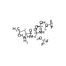 CC(C)C[C@H](N)C(=O)N[C@@H](COC(F)F)C(=O)N[C@@H](COC(F)F)C(=O)O